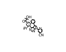 CC(C)[C@H]1CN(C(=O)C(C)(C)O)[C@H](C)CN1c1ncnc2c1c(-c1ccccc1)cn2-c1cc(C#N)ccn1